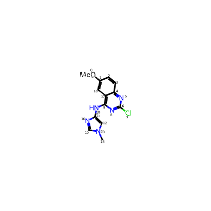 COc1ccc2nc(Cl)nc(Nc3cn(C)cn3)c2c1